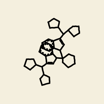 C1=C(C(C2CCCC2)C2CCCC2)c2ccccc2C1C1(C2C=C(C(C3CCCC3)C3CCCC3)c3ccccc32)CCCCC1